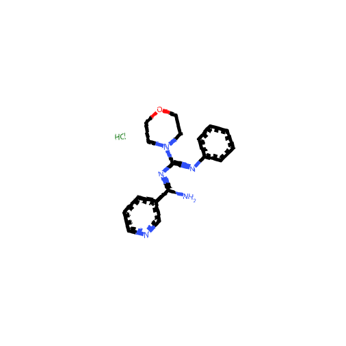 Cl.N/C(=N\C(=N\c1ccccc1)N1CCOCC1)c1cccnc1